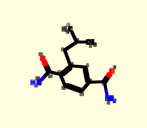 CC(C)Cc1cc(C(N)=O)ccc1C(N)=O